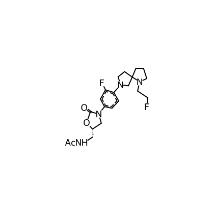 CC(=O)NC[C@H]1CN(c2ccc(N3CCC4(CCCN4CCF)C3)c(F)c2)C(=O)O1